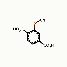 N#CSc1cc(C(=O)O)ccc1C(=O)O